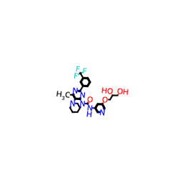 Cc1nc(-c2cccc(C(F)(F)F)c2)nc2c1N1CCCC(C1)N2C(=O)Nc1cncc(OCC(O)CO)c1